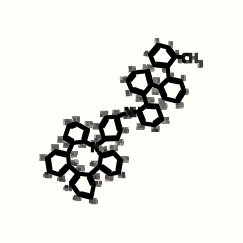 Cc1ccccc1-c1ccccc1-c1ccccc1-c1ccccc1Nc1ccc(-n2c3ccccc3c3ccccc3c3ccccc3c3ccccc32)cc1